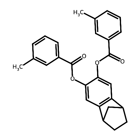 Cc1cccc(C(=O)Oc2cc3c(cc2OC(=O)c2cccc(C)c2)C2CCC3C2)c1